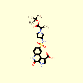 CC(C(=O)OC(C)(C)C)N1CCC(NS(=O)(=O)c2ccc3[nH]c(=O)c4[nH]cc(C(=O)O)c4c3c2)C1